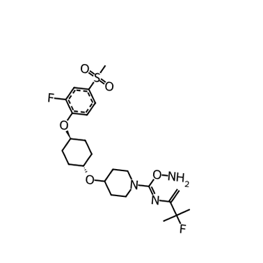 C=C(/N=C(\ON)N1CCC(O[C@H]2CC[C@H](Oc3ccc(S(C)(=O)=O)cc3F)CC2)CC1)C(C)(C)F